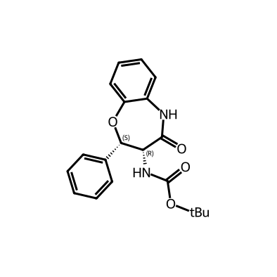 CC(C)(C)OC(=O)N[C@H]1C(=O)Nc2ccccc2O[C@H]1c1ccccc1